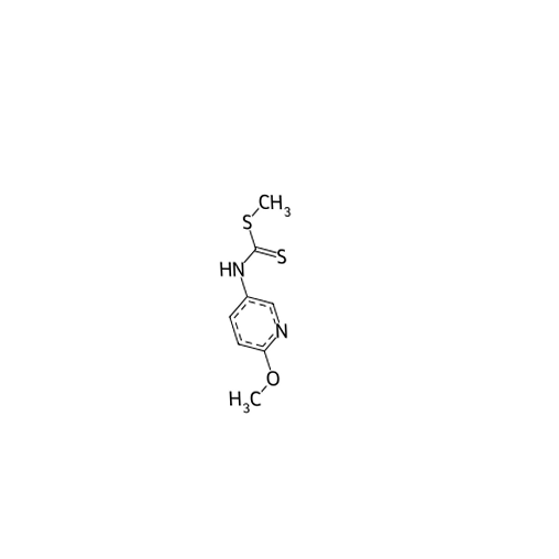 COc1ccc(NC(=S)SC)cn1